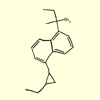 BC(C)(CC)c1cccc2c(C3CC3CC)cccc12